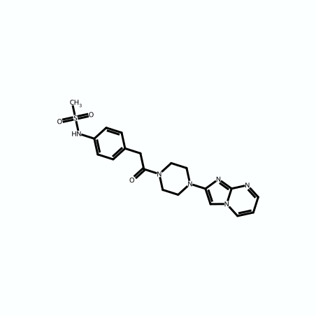 CS(=O)(=O)Nc1ccc(CC(=O)N2CCN(c3cn4cccnc4n3)CC2)cc1